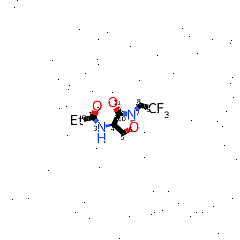 CCC(=O)N[C@@H]1CON(CC(F)(F)F)C1=O